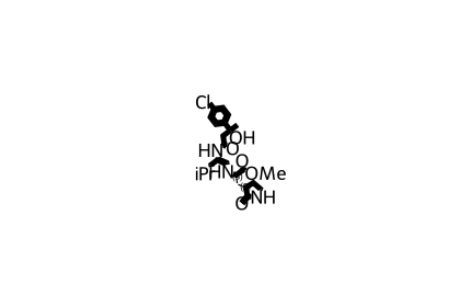 COC(=O)[C@H](C[C@@H]1CCNC1=O)NC=C(CC(C)C)NC(=O)CC(C)(O)c1ccc(Cl)cc1